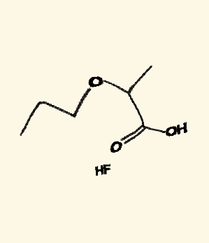 CCCOC(C)C(=O)O.F